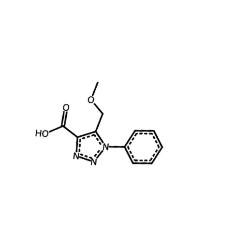 COCc1c(C(=O)O)nnn1-c1ccccc1